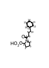 O=C(O)C1CCCN1C(=O)CCCc1ccccc1